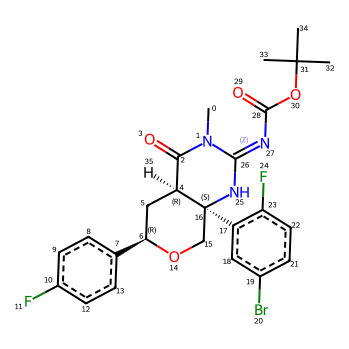 CN1C(=O)[C@@H]2C[C@H](c3ccc(F)cc3)OC[C@]2(c2cc(Br)ccc2F)N/C1=N/C(=O)OC(C)(C)C